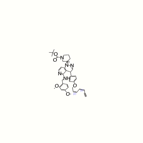 C#C/C=C\C=C/COc1ccc(C2C=NN([C@@H]3CCCN(C(=O)OC(C)(C)C)C3)c3ccnc(NCc4ccc(OC)cc4OC)c32)cc1